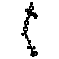 O=C(CC12CC3CC(CC(C3)C1)C2)NCCOCCOCC(=O)N1CCN(c2ccc(OC[C@H]3CO[C@](Cn4ccnc4)(c4ccc(Cl)cc4Cl)O3)cc2)CC1